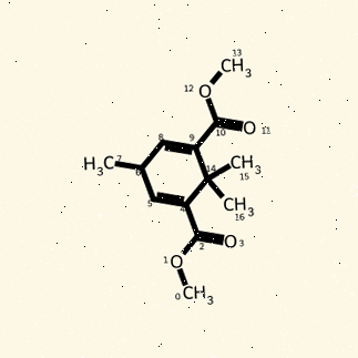 COC(=O)C1=CC(C)C=C(C(=O)OC)C1(C)C